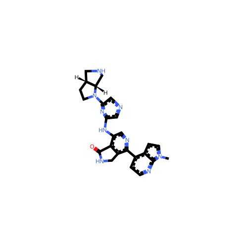 Cn1ccc2c(-c3ncc(Nc4cncc(N5CC[C@@H]6CNC[C@@H]65)n4)c4c3CNC4=O)ccnc21